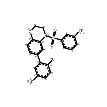 O=S(=O)(c1cccc(C(F)(F)F)c1)N1CCOc2ccc(-c3cc(C(F)(F)F)ccc3Cl)cc21